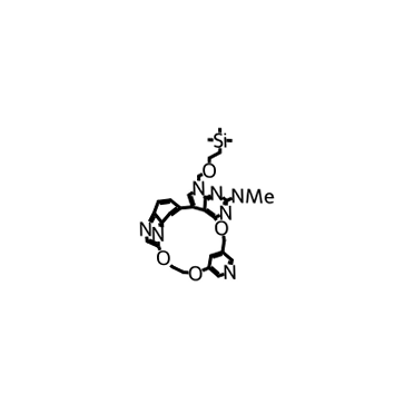 CNc1nc2c3c(cn(COCC[Si](C)(C)C)c3n1)-c1ccc3ncc(nc3c1)OCCOc1cncc(c1)CO2